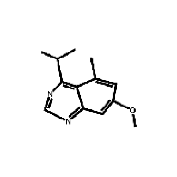 COc1cc(C)c2c(C(C)C)ncnc2c1